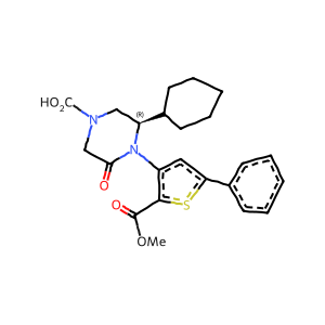 COC(=O)c1sc(-c2ccccc2)cc1N1C(=O)CN(C(=O)O)C[C@H]1C1CCCCC1